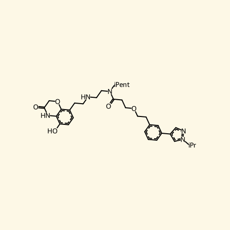 CCCC(C)N(CCNCCc1ccc(O)c2c1OCC(=O)N2)C(=O)CCOCCc1cccc(-c2cnn(C(C)C)c2)c1